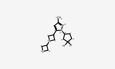 Cc1cc(C2CN(C3COC3)C2)n(C2CCC(F)(F)C2)n1